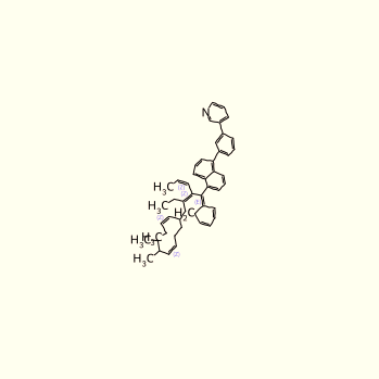 C=c1cccc/c1=C(C(/C=C\C)=C(/CC)CC(/C=C\CC)CC/C=C\C(C)CC)\c1cccc2c(-c3cccc(-c4cccnc4)c3)cccc12